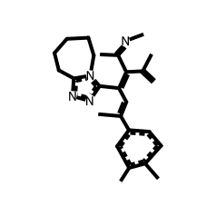 C=C(C)C(/C(C)=N\C)=C(\C=C(/C)c1ccc(C)c(C)c1)c1nnc2n1CCCCC2